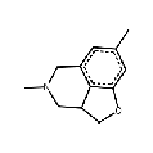 Cc1cc2c3c(c1)OCC3CN(C)C2